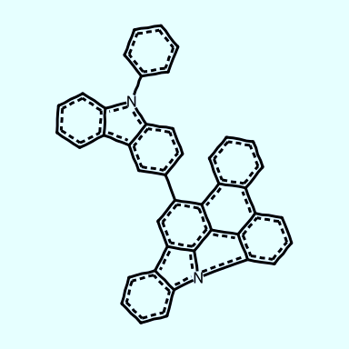 c1ccc(-n2c3ccccc3c3cc(-c4cc5c6ccccc6n6c7cccc8c9ccccc9c4c(c87)c56)ccc32)cc1